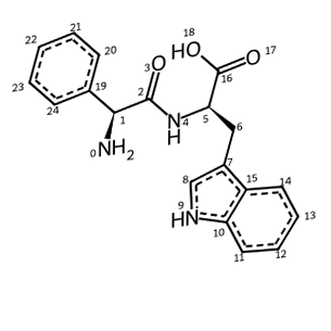 N[C@H](C(=O)N[C@H](Cc1c[nH]c2ccccc12)C(=O)O)c1ccccc1